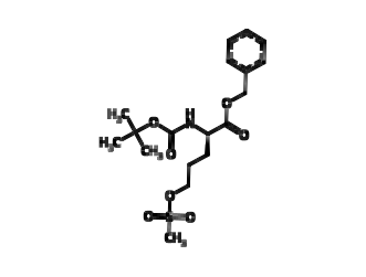 CC(C)(C)OC(=O)N[C@H](CCCOS(C)(=O)=O)C(=O)OCc1ccccc1